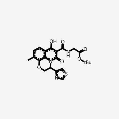 Cc1ccc2c(O)c(C(=O)NCC(=O)OC(C)(C)C)c(=O)n3c2c1OCC3c1cscn1